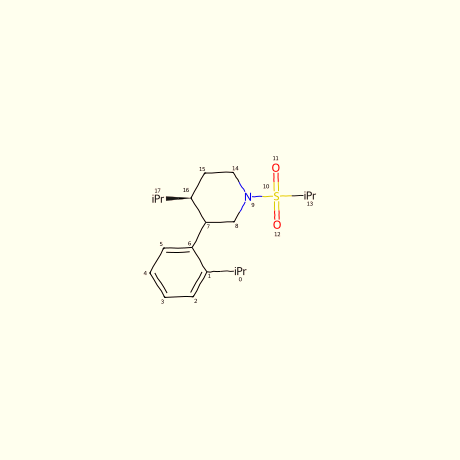 CC(C)c1ccccc1C1CN(S(=O)(=O)C(C)C)CC[C@@H]1C(C)C